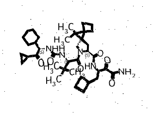 CC(C)(C)[C@H](NC(=O)N[C@H](C(=O)C1CC1)C1CCCCC1)C(=O)N1C[C@]2(C[C@H]1C(=O)NC(CC1CCC1)C(=O)C(N)=O)C(C)(C)C21CCC1